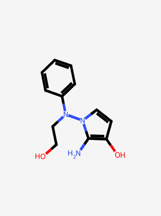 Nc1c(O)ccn1N(CCO)c1ccccc1